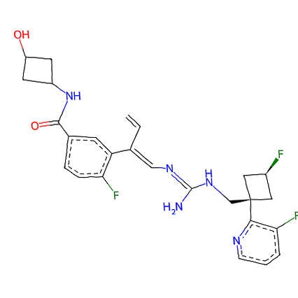 C=C/C(=C\N=C(/N)NC[C@]1(c2ncccc2F)C[C@H](F)C1)c1cc(C(=O)NC2CC(O)C2)ccc1F